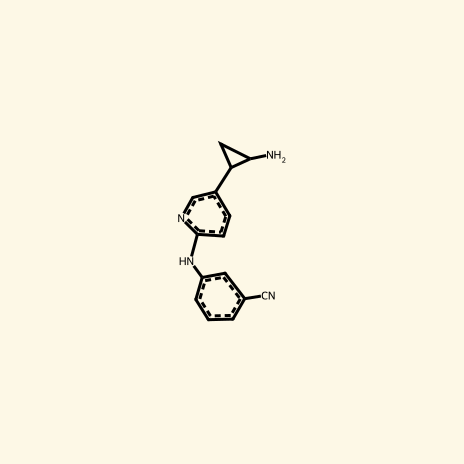 N#Cc1cccc(Nc2ccc(C3CC3N)cn2)c1